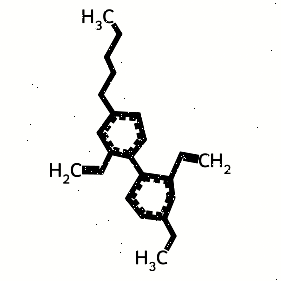 C=Cc1cc(CC)ccc1-c1ccc(CCCCC)cc1C=C